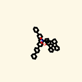 c1ccc(-c2ccc(-c3ccc(N(c4ccc(-c5ccccc5)cc4)c4ccc(-c5cccc6c5C5(c7ccccc7-6)c6ccccc6-c6c5ccc5c6oc6ccccc65)cc4)cc3)cc2)cc1